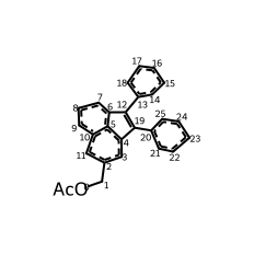 CC(=O)OCc1cc2c3c(cccc3c1)C(c1ccccc1)=C2c1ccccc1